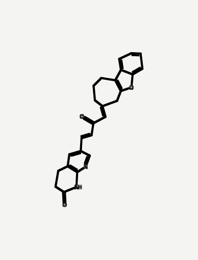 O=C(/C=C/c1cnc2c(c1)CCC(=O)N2)/C=C1\CCCc2c(oc3ccccc23)C1